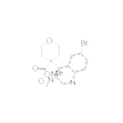 COC(=O)C1(c2c([N+](=O)[O-])cnc3ccc(Br)cc23)CCOCC1